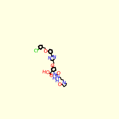 O=C(NCCCN1CCCC1=O)Nc1ccc(OCc2cnc(-c3cccc(OCc4cccc(Cl)c4)c3)nc2)cc1C(=O)O